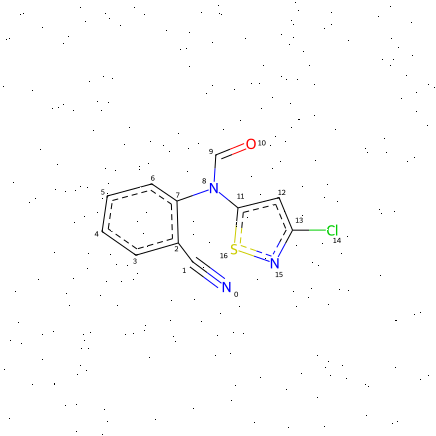 N#Cc1ccccc1N(C=O)c1cc(Cl)ns1